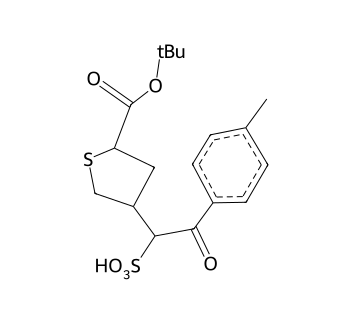 Cc1ccc(C(=O)C(C2CSC(C(=O)OC(C)(C)C)C2)S(=O)(=O)O)cc1